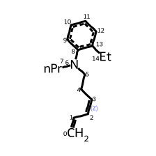 C=C/C=C\CCN(CCC)c1ccccc1CC